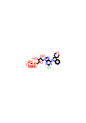 O=P(O)(O)CP(=O)(O)OCC1OC(n2cnc3c(N4CC5(CCOCC5)c5ccccc54)nc(Cl)nc32)C(O)C1O